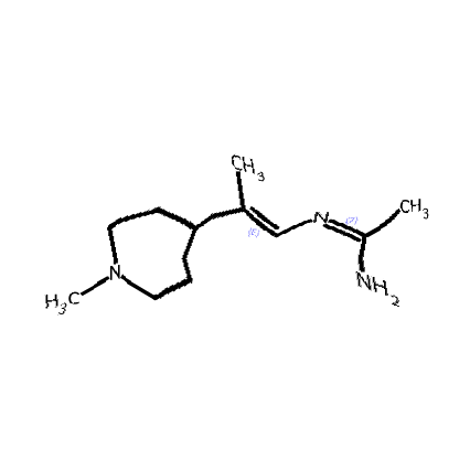 C/C(N)=N/C=C(\C)C1CCN(C)CC1